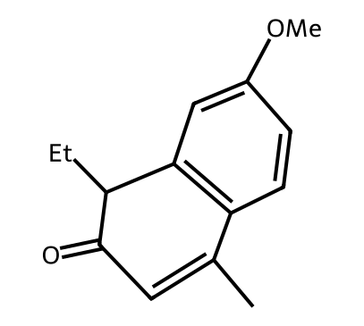 CCC1C(=O)C=C(C)c2ccc(OC)cc21